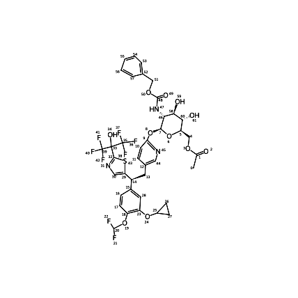 CC(=O)OC[C@H]1O[C@@H](Oc2ccc(C[C@@H](c3ccc(OC(F)F)c(OC4CC4)c3)c3cnc(C(O)(C(F)(F)F)C(F)(F)F)s3)cn2)[C@H](NC(=O)OCc2ccccc2)[C@@H](O)[C@@H]1O